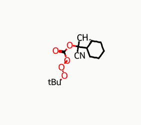 CC(C)(C)OOOC(=O)OC(C)(C#N)C1CCCCC1